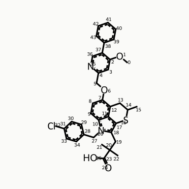 COc1cc(COc2ccc3c4c2CC(C)Sc4c(CC(C)(C)C(=O)O)n3Cc2ccc(Cl)cc2)ncc1-c1ccccc1